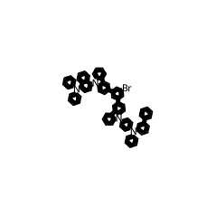 Brc1cc(-c2ccc3c(c2)c2ccccc2n3-c2ccc(N(c3ccccc3)c3cccc(-c4ccccc4)c3)cc2)cc(-c2ccc3c(c2)c2ccccc2n3-c2ccc(N(c3ccccc3)c3ccccc3)c3ccccc23)c1